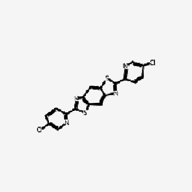 Clc1ccc(-c2nc3cc4sc(-c5ccc(Cl)cn5)nc4cc3s2)nc1